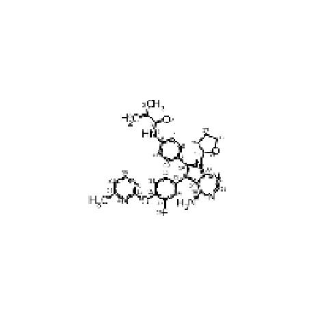 C=C(C)C(=O)Nc1ccc(-c2c(-c3ccc(Oc4nccc(C)n4)c(F)c3)c3c(N)ncnc3n2C2CCCO2)cc1